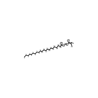 CCCCCCCCCCCCCCCCCCCCCC(=O)OCOC(=O)C(C)C